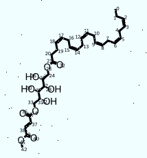 CC/C=C\C/C=C\C/C=C\C/C=C\C/C=C\C/C=C\CCC(=O)OC[C@@H](O)[C@@H](O)[C@H](O)[C@H](O)COC(=O)/C=C/C(=O)OC